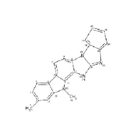 Cc1ccc2c3ccc4c([nH]c5nc6ccccc6n54)c3n(C)c2c1